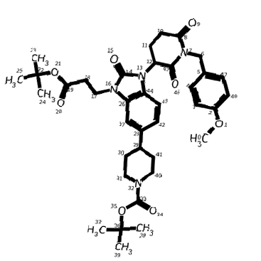 COc1ccc(CN2C(=O)CCC(n3c(=O)n(CCC(=O)OC(C)(C)C)c4cc(C5CCN(C(=O)OC(C)(C)C)CC5)ccc43)C2=O)cc1